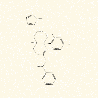 Cn1nccc1[C@H]1C[C@H]2CSC(NC(=O)c3ccccc3)=N[C@@]2(c2ccc(F)cc2F)CO1